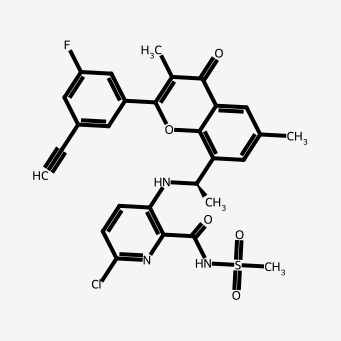 C#Cc1cc(F)cc(-c2oc3c([C@@H](C)Nc4ccc(Cl)nc4C(=O)NS(C)(=O)=O)cc(C)cc3c(=O)c2C)c1